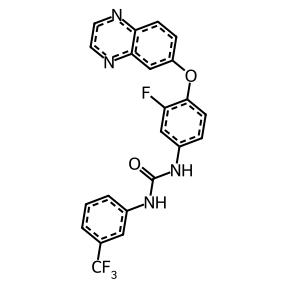 O=C(Nc1cccc(C(F)(F)F)c1)Nc1ccc(Oc2ccc3nccnc3c2)c(F)c1